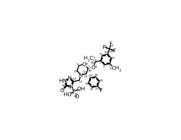 Cc1cc([C@@H](C)O[C@H]2OCCN(Cc3n[nH]c(=O)n3P(=O)(O)O)[C@H]2c2ccc(F)cc2)cc(C(F)(F)F)c1